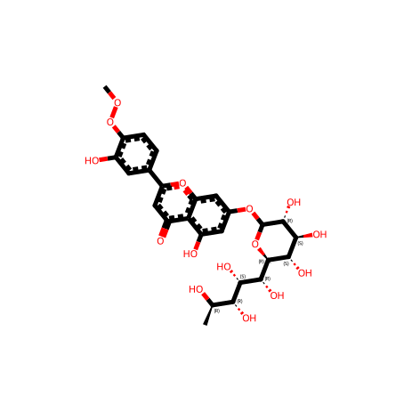 COOc1ccc(-c2cc(=O)c3c(O)cc(OC4O[C@H]([C@H](O)[C@@H](O)[C@H](O)[C@@H](C)O)[C@@H](O)[C@H](O)[C@H]4O)cc3o2)cc1O